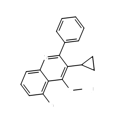 O=C(O)Oc1c(C2CC2)c(-c2ccccc2)nc2cccc(Br)c12